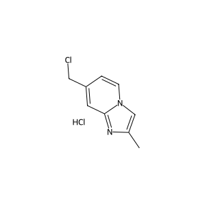 Cc1cn2ccc(CCl)cc2n1.Cl